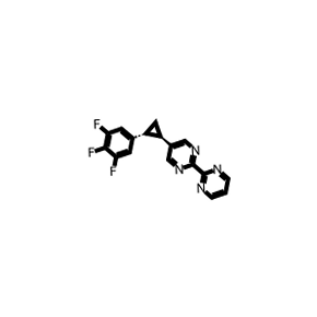 Fc1cc([C@@H]2C[C@H]2c2cnc(-c3ncccn3)nc2)cc(F)c1F